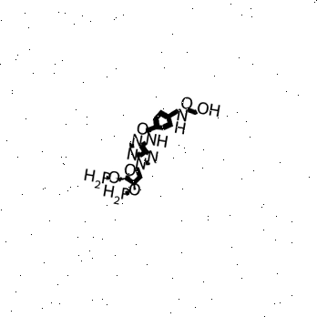 O=C(CO)NCc1ccc(C(=O)Nc2ncnc3c2ncn3[C@H]2C[C@@H](OP)[C@@H](COP)O2)cc1